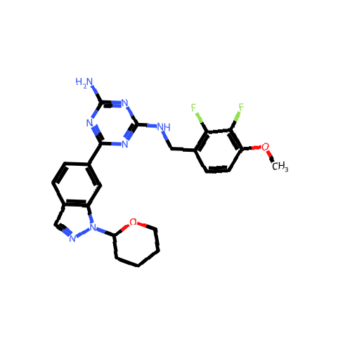 COc1ccc(CNc2nc(N)nc(-c3ccc4cnn(C5CCCCO5)c4c3)n2)c(F)c1F